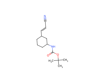 CC(C)(C)OC(=O)NC1CCCC(C=CC#N)C1